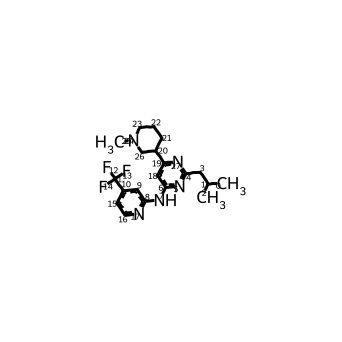 CC(C)Cc1nc(Nc2cc(C(F)(F)F)ccn2)cc(C2CCCN(C)C2)n1